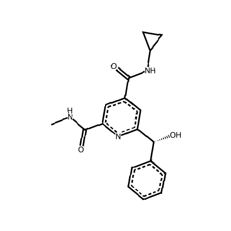 CNC(=O)c1cc(C(=O)NC2CC2)cc([C@H](O)c2ccccc2)n1